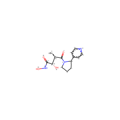 CCCC[C@@H](C(=O)N1CCCC1c1ccncc1)[C@H](O)C(=O)NO